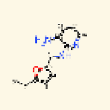 CCc1ccc(CNc2ncccc2N)o1